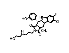 C[C@@]12CC3c4cc(Cl)c(F)cc4NC3[C@@H](c3cccc(O)c3)N1C(=O)N(CCCNCCO)C2=O